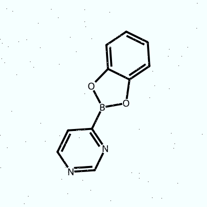 c1ccc2c(c1)OB(c1ccncn1)O2